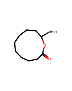 CCCCCCC1CCCCCCCCC(=O)O1